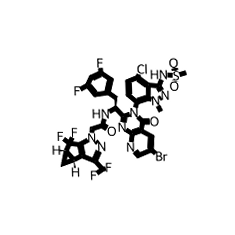 Cn1nc(NS(C)(=O)=O)c2c(Cl)ccc(-n3c([C@H](Cc4cc(F)cc(F)c4)NC(=O)Cn4nc(C(F)F)c5c4C(F)(F)[C@@H]4C[C@H]54)nc4ncc(Br)cc4c3=O)c21